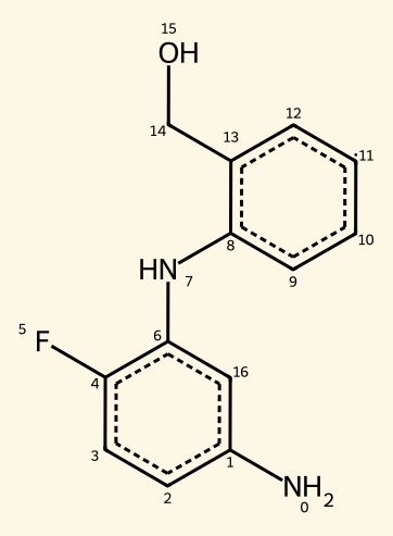 Nc1ccc(F)c(Nc2cc[c]cc2CO)c1